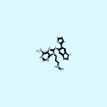 CC(C)NCCCn1c(Sc2cc3c(cc2-c2ccco2)CCC3)nc2c(N)ncnc21